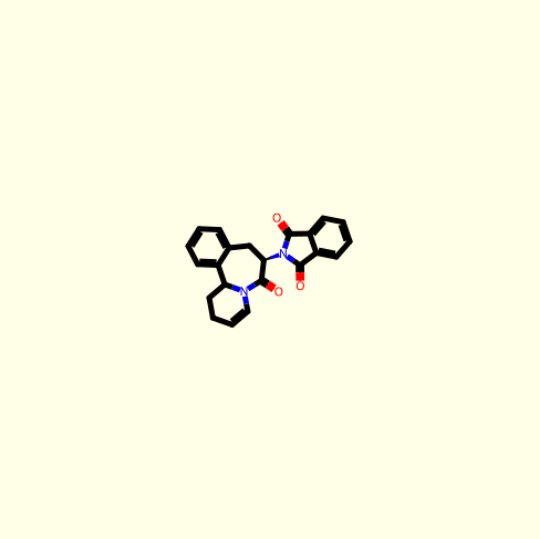 O=C1[C@H](N2C(=O)c3ccccc3C2=O)Cc2ccccc2C2CCC=CN12